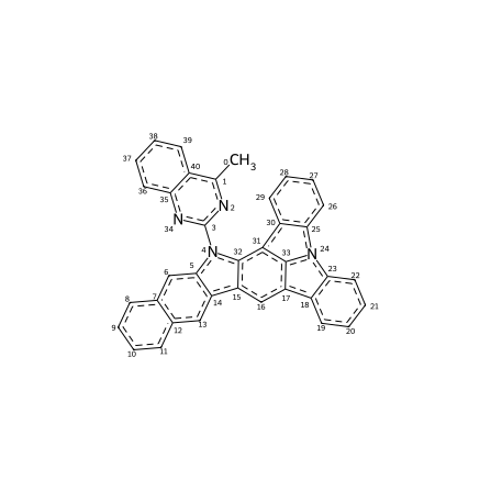 Cc1nc(-n2c3cc4ccccc4cc3c3cc4c5ccccc5n5c6ccccc6c(c32)c45)nc2ccccc12